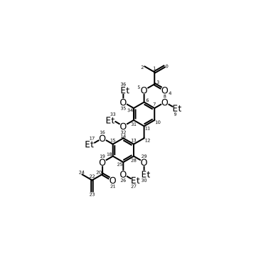 C=C(C)C(=O)Oc1c(OCC)cc(Cc2cc(OCC)c(OC(=O)C(=C)C)c(OCC)c2OCC)c(OCC)c1OCC